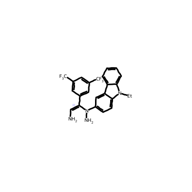 CCn1c2ccccc2c2cc(N(N)/C(=C\N)c3cc(C(F)(F)F)cc(C(F)(F)F)c3)ccc21